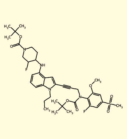 CCCn1c(C#CCN(C(=O)OC(C)(C)C)c2c(F)cc(S(C)(=O)=O)cc2OC)cc2c(NC3CCN(C(=O)OC(C)(C)C)CC3F)cccc21